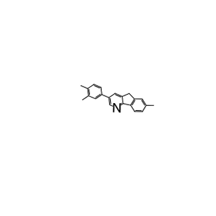 Cc1ccc2c(c1)Cc1cc(-c3ccc(C)c(C)c3)cnc1-2